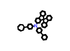 C1=CC=C(c2ccc(N(c3ccc(-c4ccccc4)cc3)c3ccc4c(c3)C3(c5ccccc5-c5ccccc53)c3ccccc3-4)cc2)CC=C1